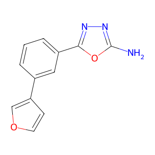 Nc1nnc(-c2cccc(-c3ccoc3)c2)o1